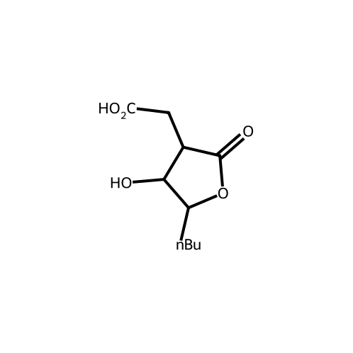 CCCCC1OC(=O)C(CC(=O)O)C1O